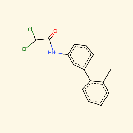 Cc1ccccc1-c1cccc(NC(=O)C(Cl)Cl)c1